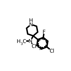 CN(C)C1(c2ccc(Cl)cc2F)CCNCC1